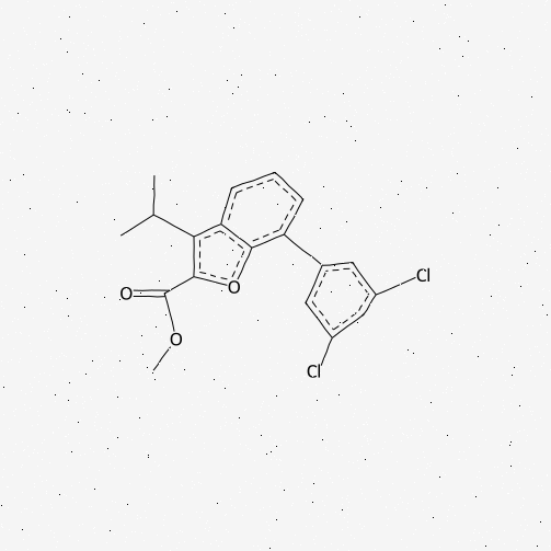 COC(=O)c1oc2c(-c3cc(Cl)cc(Cl)c3)cccc2c1C(C)C